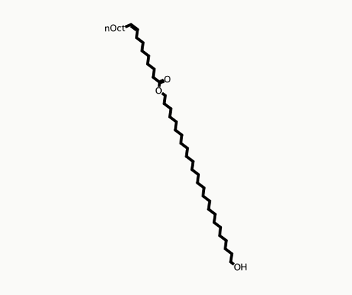 CCCCCCCC/C=C\CCCCCCCC(=O)OCCCCCCCCCCCCCCCCCCCCCCCCCCO